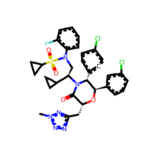 Cn1nnc(C[C@H]2O[C@H](c3cccc(Cl)c3)[C@@H](c3ccc(Cl)cc3)N([C@H](CN(c3ccccc3F)S(=O)(=O)C3CC3)C3CC3)C2=O)n1